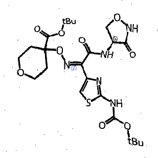 CC(C)(C)OC(=O)Nc1nc(/C(=N/OC2(C(=O)OC(C)(C)C)CCOCC2)C(=O)N[C@H]2CONC2=O)cs1